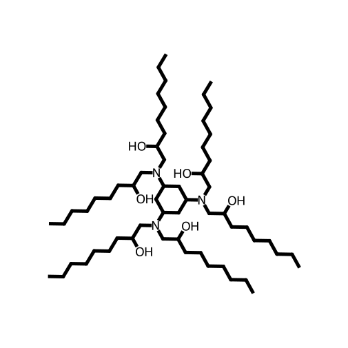 CCCCCCCC(O)CN(CC(O)CCCCCCC)C1CC(N(CC(O)CCCCCCC)CC(O)CCCCCCC)CC(N(CC(O)CCCCCCC)CC(O)CCCCCCC)C1